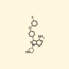 Nc1ncnc2c1c(-c1ccc(Oc3cccc(F)c3)cc1)nn2C1CCNC1